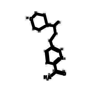 CC(CCc1ccc(C(N)=O)nc1)N1CCOCC1